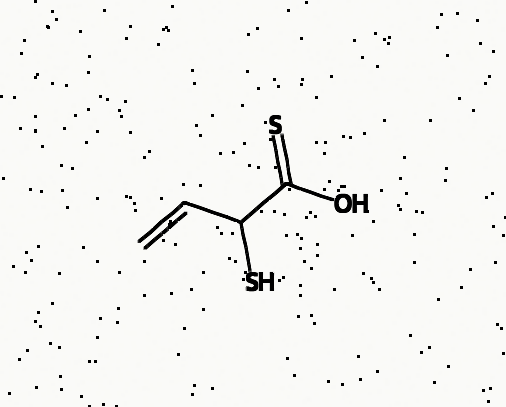 C=CC(S)C(O)=S